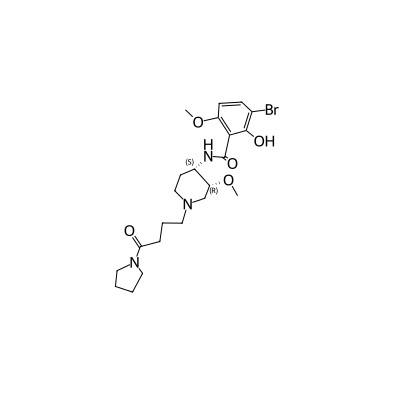 COc1ccc(Br)c(O)c1C(=O)N[C@H]1CCN(CCCC(=O)N2CCCC2)C[C@H]1OC